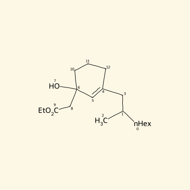 CCCCCCC(C)CC1=CC(O)(CC(=O)OCC)CCC1